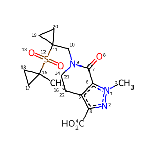 Cn1nc(C(=O)O)c2c1C(=O)N(CC1(S(=O)(=O)C3(C)CC3)CC1)CC2